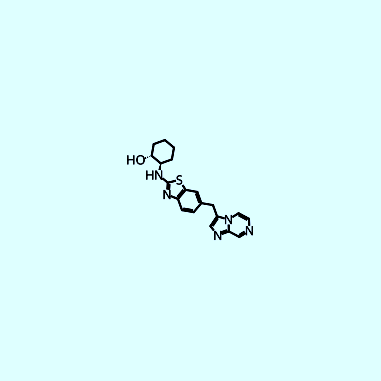 O[C@@H]1CCCC[C@H]1Nc1nc2ccc(Cc3cnc4cnccn34)cc2s1